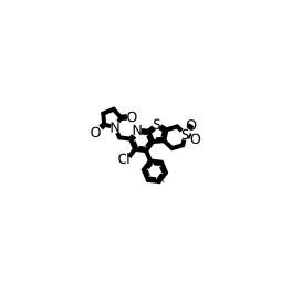 O=C1CCC(=O)N1Cc1nc2sc3c(c2c(-c2cc[c]cc2)c1Cl)CCS(=O)(=O)C3